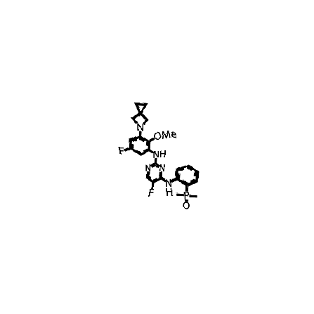 COc1c(Nc2ncc(F)c(Nc3ccccc3P(C)(C)=O)n2)cc(F)cc1N1CC2(CC2)C1